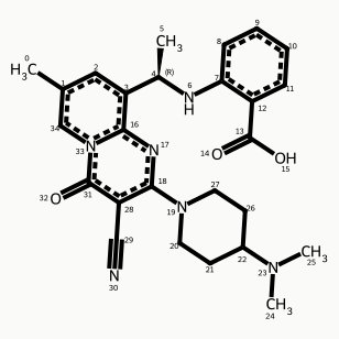 Cc1cc([C@@H](C)Nc2ccccc2C(=O)O)c2nc(N3CCC(N(C)C)CC3)c(C#N)c(=O)n2c1